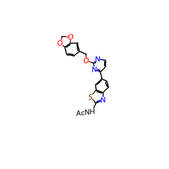 CC(=O)Nc1nc2ccc(-c3ccnc(OCc4ccc5c(c4)OCO5)n3)cc2s1